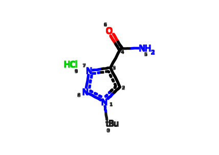 CC(C)(C)n1cc(C(N)=O)nn1.Cl